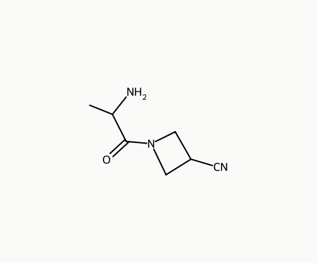 CC(N)C(=O)N1CC(C#N)C1